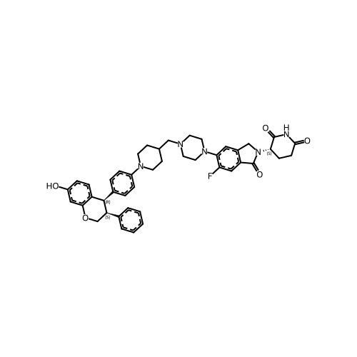 O=C1CC[C@H](N2Cc3cc(N4CCN(CC5CCN(c6ccc([C@@H]7c8ccc(O)cc8OC[C@@H]7c7ccccc7)cc6)CC5)CC4)c(F)cc3C2=O)C(=O)N1